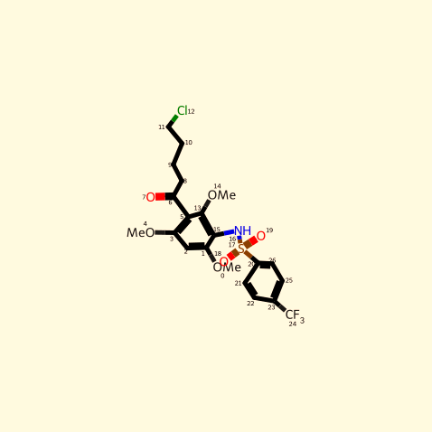 COc1cc(OC)c(C(=O)CCCCCl)c(OC)c1NS(=O)(=O)c1ccc(C(F)(F)F)cc1